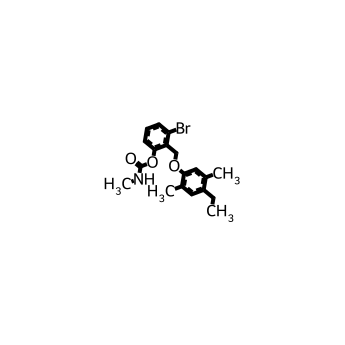 CCc1cc(C)c(OCc2c(Br)cccc2OC(=O)NC)cc1C